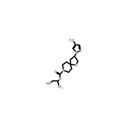 O=C(OC(CO)C(F)(F)F)N1CCC2(CC1)CC(n1cc(C(F)(F)F)cn1)CO2